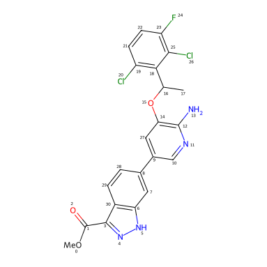 COC(=O)c1n[nH]c2cc(-c3cnc(N)c(OC(C)c4c(Cl)ccc(F)c4Cl)c3)ccc12